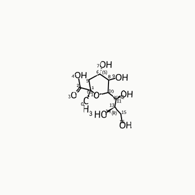 C[C@@]1(C(=O)O)C[C@H](O)C(O)C([C@@H](O)[C@H](O)CO)O1